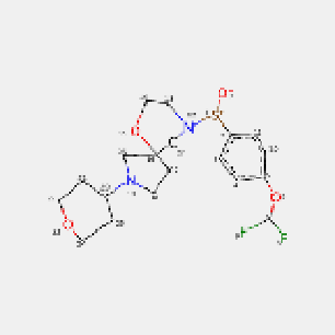 [O-][S+](c1ccc(OC(F)F)cc1)N1CCOC2(CCN(C3CCOCC3)C2)C1